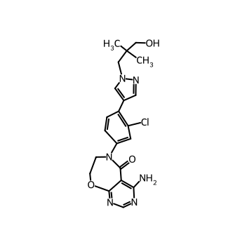 CC(C)(CO)Cn1cc(-c2ccc(N3CCOc4ncnc(N)c4C3=O)cc2Cl)cn1